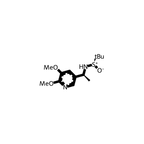 COc1cc([C@H](C)N[S@@+]([O-])C(C)(C)C)cnc1OC